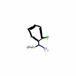 CCCCCC(N)c1ccccc1Br